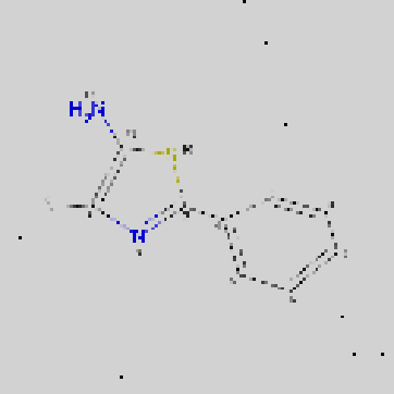 Cc1nc(-c2ccccc2)sc1N